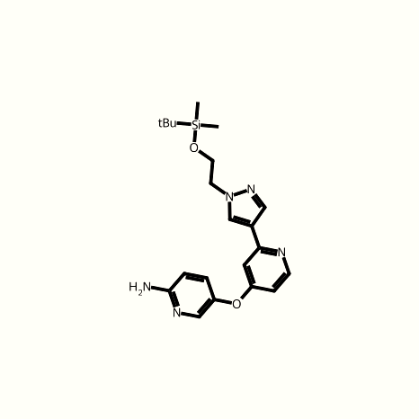 CC(C)(C)[Si](C)(C)OCCn1cc(-c2cc(Oc3ccc(N)nc3)ccn2)cn1